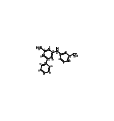 Nc1nc(Nc2ccnc(C(F)(F)F)c2)nc(-c2ccccc2)n1